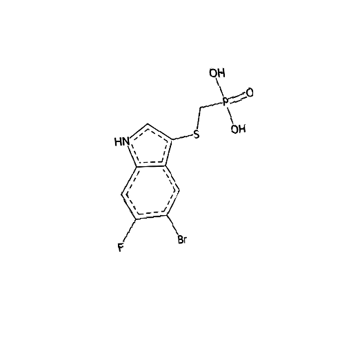 O=P(O)(O)CSc1c[nH]c2cc(F)c(Br)cc12